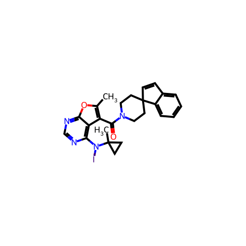 Cc1oc2ncnc(N(I)C3(C)CC3)c2c1C(=O)N1CCC2(C=Cc3ccccc32)CC1